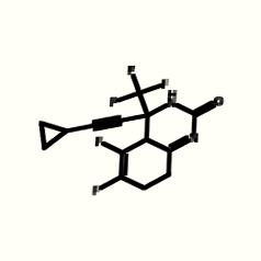 O=C1N=C2CCC(F)=C(F)C2C(C#CC2CC2)(C(F)(F)F)N1